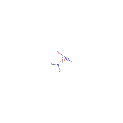 CN(C)O.N#[N+][O-]